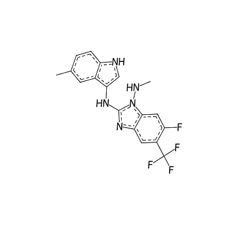 CNn1c(Nc2c[nH]c3ccc(C)cc23)nc2cc(C(F)(F)F)c(F)cc21